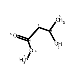 CC(O)CC(=O)OP